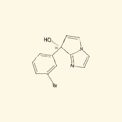 O[C@]1(c2cccc(Br)c2)C=Cn2ccnc21